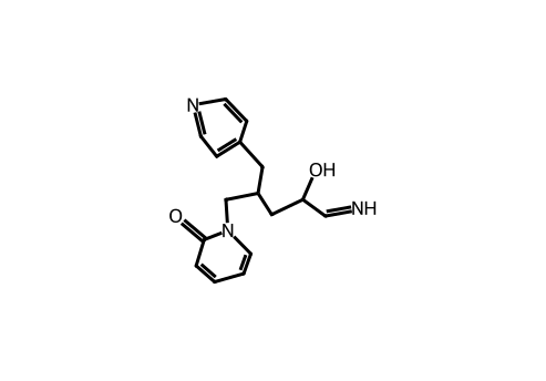 N=CC(O)CC(Cc1ccncc1)Cn1ccccc1=O